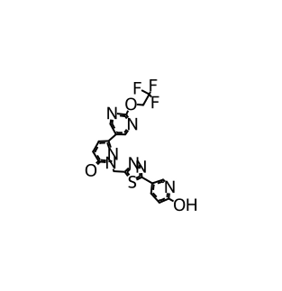 O=c1ccc(-c2cnc(OCC(F)(F)F)nc2)nn1Cc1nnc(-c2ccc(O)nc2)s1